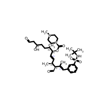 C/C(=C\c1cccc(S(=O)(=O)NC(C)(C)C)c1)[C@@H](C=O)[C@@H](C)/C=C/[C@H](OC(=O)N1CCN(C)CC1)[C@@H](C)CC[C@@H](O)CC=O